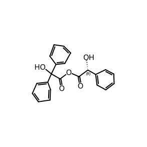 O=C(OC(=O)C(O)(c1ccccc1)c1ccccc1)[C@H](O)c1ccccc1